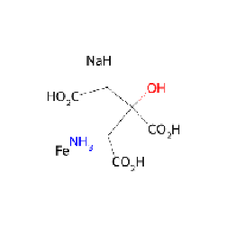 N.O=C(O)CC(O)(CC(=O)O)C(=O)O.[Fe].[NaH]